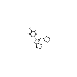 Cc1nc(-c2nc3ccccc3n2Cc2ccccc2)cn(C)c1=O